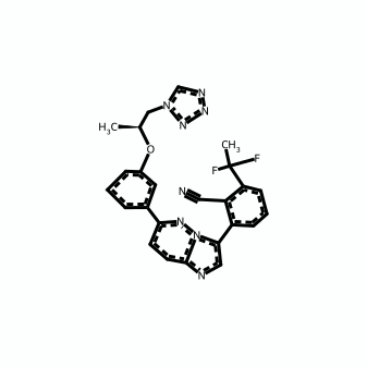 C[C@@H](Cn1cnnn1)Oc1cccc(-c2ccc3ncc(-c4cccc(C(C)(F)F)c4C#N)n3n2)c1